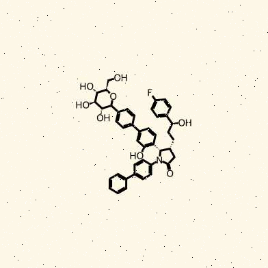 O=C1C[C@@H](CC[C@H](O)c2ccc(F)cc2)[C@@H](c2ccc(-c3ccc(C4O[C@H](CO)[C@@H](O)[C@H](O)[C@H]4O)cc3)cc2O)N1c1ccc(-c2ccccc2)cc1